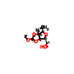 B[C@@H]1O[C@H](CO)C2OC(OC)O[C@@H]21